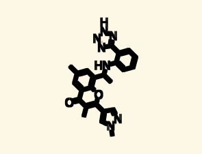 Cc1cc(C(C)Nc2ccccc2-c2nn[nH]n2)c2oc(-c3cnn(C)c3)c(C)c(=O)c2c1